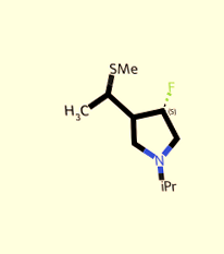 CSC(C)C1CN(C(C)C)C[C@H]1F